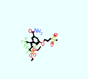 CCOP(=O)(OCC)C(F)(F)c1sc2c(OCCCS(C)(=O)=O)cc(C(N)=O)cc2c1C(F)(F)F